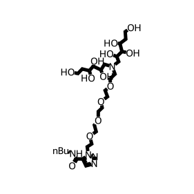 CCCCNC(=O)c1cnnn1CCOCCOCCOCCOCCN(CC(O)C(O)C(O)CCO)CC(O)C(O)C(O)CCO